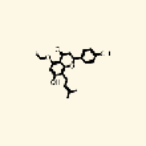 CC(C)=CCc1c(O)cc(OCI)c2c1OC(c1ccc(O)cc1)CC2=O